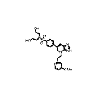 COc1ccnc(CCN2CC(c3ccc(S(=O)(=O)N(CCO)CCO)cc3)=Cc3nc[nH]c32)c1